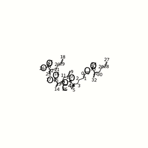 C=CCCC(=C)C(=O)[O-].C=CCCC(=C)C(=O)[O-].C=CCCC(=C)C(=O)[O-].C=CCCC(=C)C(=O)[O-].[C+4]